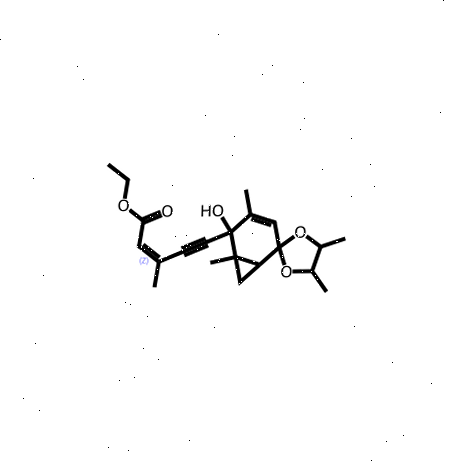 CCOC(=O)/C=C(/C)C#CC1(O)C(C)=CC2(OC(C)C(C)O2)C2CC21C